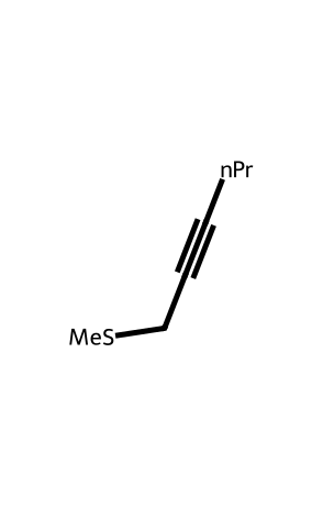 [CH2]CCC#CCSC